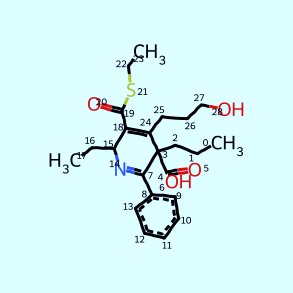 CCCC1(C(=O)O)C(c2ccccc2)=NC(CC)C(C(=O)SCC)=C1CCCO